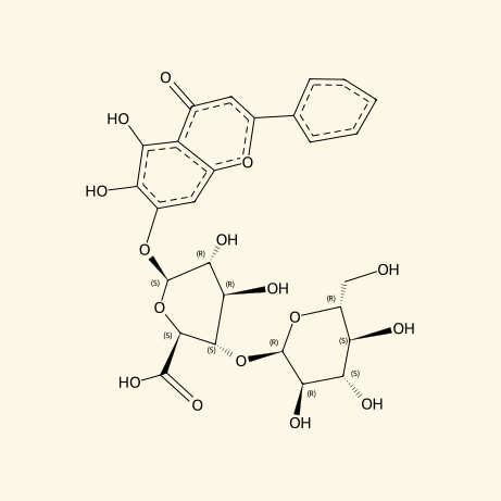 O=C(O)[C@H]1O[C@@H](Oc2cc3oc(-c4ccccc4)cc(=O)c3c(O)c2O)[C@H](O)[C@@H](O)[C@@H]1O[C@H]1O[C@H](CO)[C@@H](O)[C@H](O)[C@H]1O